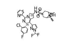 C#C[C@@]1(O)C2C[C@@H](S(=O)(=O)N[C@H]3CC4=C(c5ccn(C(F)F)n5)[C@H](c5ccc(F)cc5Cl)N=C(c5nccs5)N4C3)CC1[C@@H](C)C2